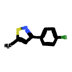 Cc1cc(-c2ccc(Cl)cc2)ns1